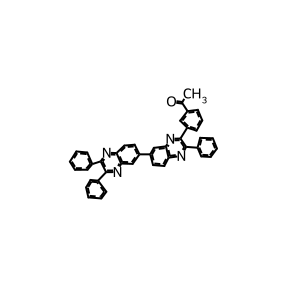 CC(=O)c1cccc(-c2nc3cc(-c4ccc5nc(-c6ccccc6)c(-c6ccccc6)nc5c4)ccc3nc2-c2ccccc2)c1